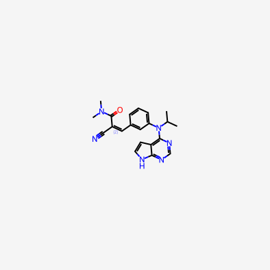 CC(C)N(c1cccc(/C=C(/C#N)C(=O)N(C)C)c1)c1ncnc2[nH]ccc12